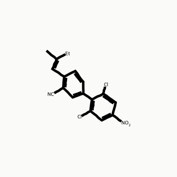 CC/C(C)=C\c1ccc(-c2c(Cl)cc([N+](=O)[O-])cc2Cl)cc1C#N